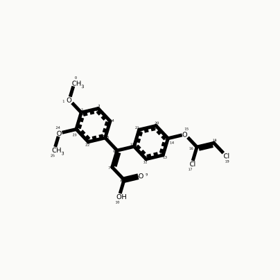 COc1ccc(/C(=C/C(=O)O)c2ccc(O/C(Cl)=C/Cl)cc2)cc1OC